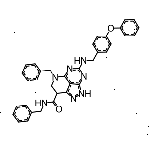 O=C(NCc1ccccc1)C1CN(Cc2ccccc2)c2nc(NCc3ccc(Oc4ccccc4)cc3)nc3[nH]nc1c23